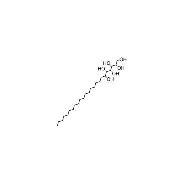 CCCCCCCCCCCCCCCCCCC(O)[C@H](O)[C@@H](O)[C@H](O)[C@H](O)CO